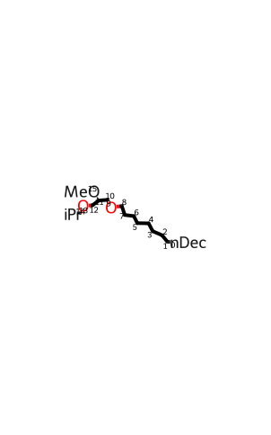 CCCCCCCCCCCCCCCCCCOC[C@H](COC(C)C)OC